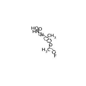 CC1=C(CN2CCC(NC(=O)O)C2)CCc2cc(OC[C@@H](C)Cc3ccc(F)cc3)ccc21